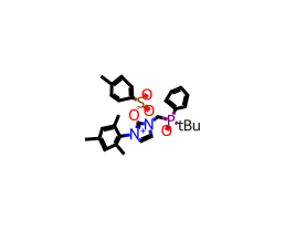 Cc1ccc(S(=O)(=O)Oc2n(CP(=O)(c3ccccc3)C(C)(C)C)cc[n+]2-c2c(C)cc(C)cc2C)cc1